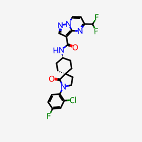 O=C(N[C@H]1CC[C@@]2(CCN(c3ccc(F)cc3Cl)C2=O)CC1)c1cnn2ccc(C(F)F)nc12